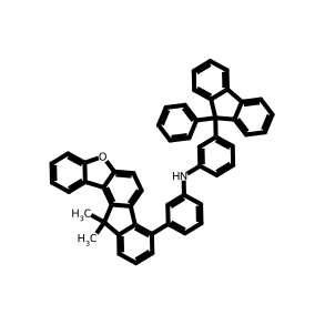 CC1(C)c2cccc(-c3cccc(Nc4cccc(C5(c6ccccc6)c6ccccc6-c6ccccc65)c4)c3)c2-c2ccc3oc4ccccc4c3c21